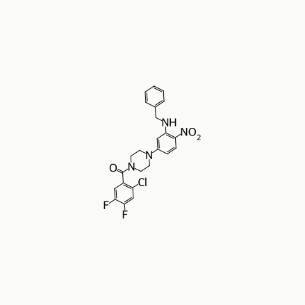 O=C(c1cc(F)c(F)cc1Cl)N1CCN(c2ccc([N+](=O)[O-])c(NCc3ccccc3)c2)CC1